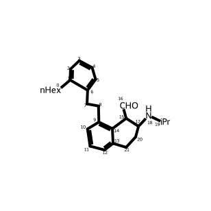 CCCCCCc1ccccc1CCc1cccc2c1C(C=O)C(NC(C)C)CC2